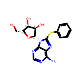 Nc1ncnc2c1nc(Sc1ccccc1)n2[C@@H]1O[C@H](CO)[C@@H](O)[C@H]1O